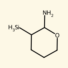 NC1OCCCC1[SiH3]